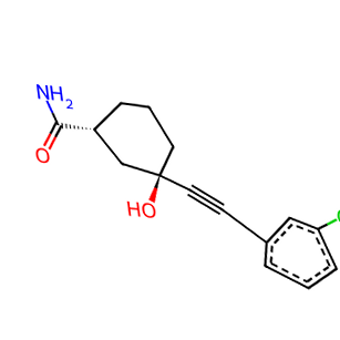 NC(=O)[C@@H]1CCC[C@](O)(C#Cc2cccc(Cl)c2)C1